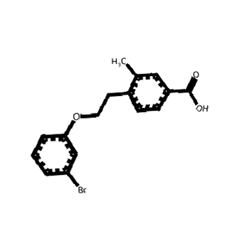 Cc1cc(C(=O)O)ccc1CCOc1cccc(Br)c1